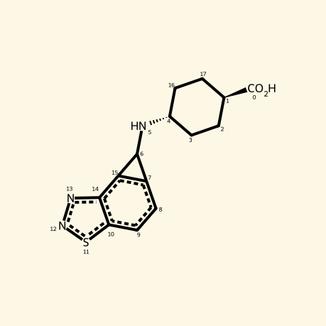 O=C(O)[C@H]1CC[C@H](NC2c3ccc4snnc4c32)CC1